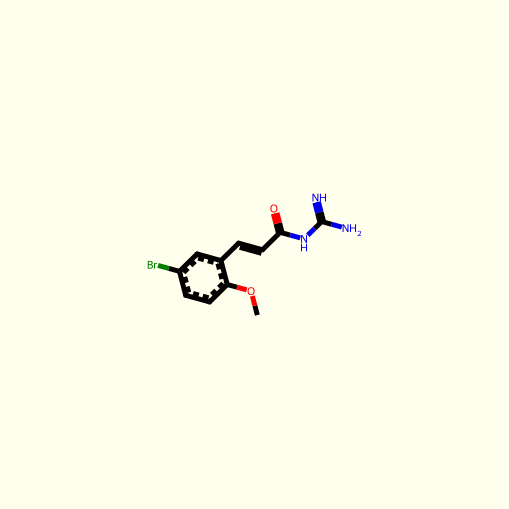 COc1ccc(Br)cc1C=CC(=O)NC(=N)N